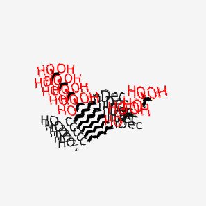 CCCCCCCCCCCCCCCCCC(=O)O.CCCCCCCCCCCCCCCCCC(=O)O.CCCCCCCCCCCCCCCCCC(=O)O.CCCCCCCCCCCCCCCCCC(=O)O.CCCCCCCCCCCCCCCCCC(=O)O.OCC(O)CO.OCC(O)CO.OCC(O)CO.OCC(O)CO.OCC(O)CO.OCC(O)CO